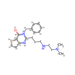 CN(C)CCNCCCc1nc2ccsc2c(=O)n1Cc1ccccc1